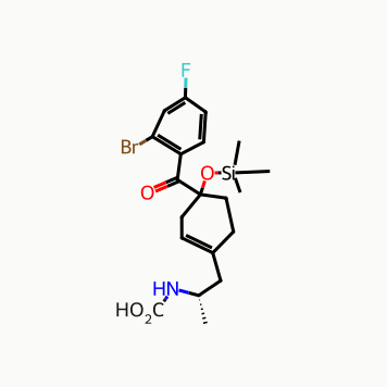 C[C@@H](CC1=CCC(O[Si](C)(C)C)(C(=O)c2ccc(F)cc2Br)CC1)NC(=O)O